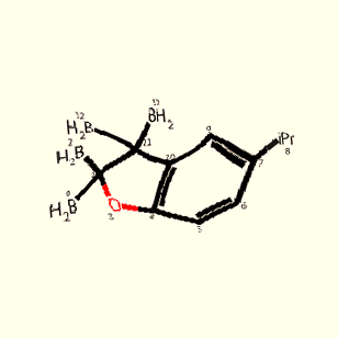 BC1(B)Oc2ccc(C(C)C)cc2C1(B)B